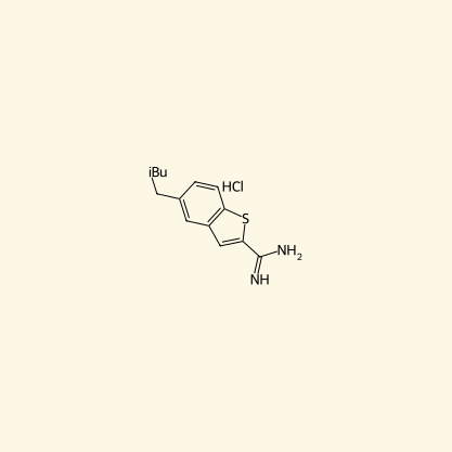 CCC(C)Cc1ccc2sc(C(=N)N)cc2c1.Cl